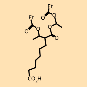 CCC(=O)OC(C)OC(=O)C(CCCCCCC(=O)O)C(C)OC(=O)CC